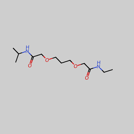 CCNC(=O)COCCCOCC(=O)NC(C)C